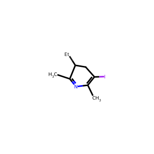 CCC1CC(I)=C(C)N=C1C